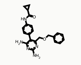 Nc1nc(N)c(-c2ccc(NC(=O)C3CC3)cc2)c(COCc2ccccc2)n1